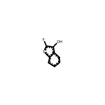 Oc1c(F)sc2ccccc12